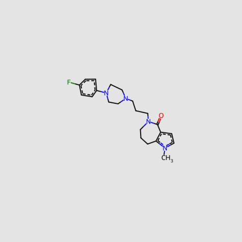 Cn1ccc2c1CCCN(CCCN1CCN(c3ccc(F)cc3)CC1)C2=O